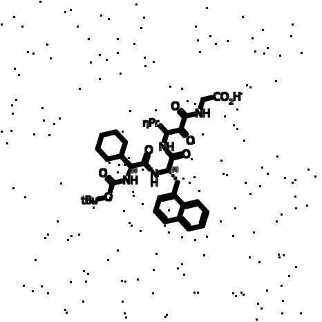 CCCC(NC(=O)[C@H](Cc1cccc2ccccc12)NC(=O)[C@@H](NC(=O)OC(C)(C)C)C1CCCCC1)C(=O)C(=O)NCC(=O)O